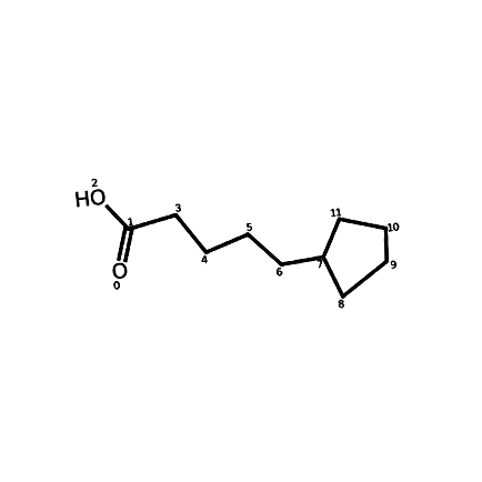 O=C(O)CCCCC1CCCC1